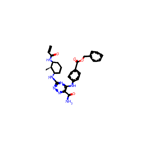 C=CC(=O)NC1CCC[C@@H](Nc2nnc(C(N)=O)c(Nc3ccc(C(=O)OCc4ccccc4)cc3)n2)[C@H]1C